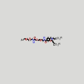 CC(=O)COCCOCCNC(=O)COCCOCCNC(=O)c1ccc(CN(CCC(=O)O)C(=O)CCCC(=O)O)cc1